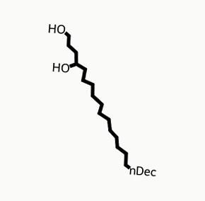 CCCCCCCCCCCCCCCCCCCCCCC(O)CCCO